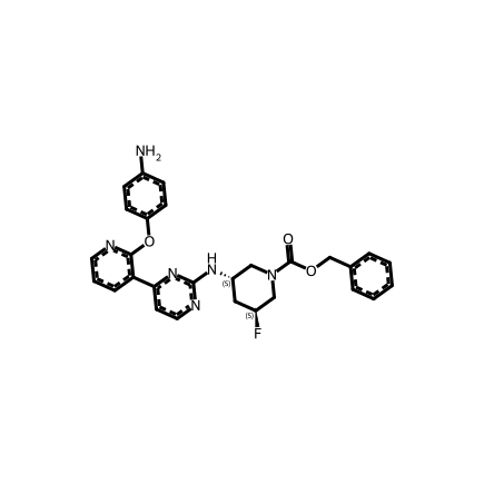 Nc1ccc(Oc2ncccc2-c2ccnc(N[C@H]3C[C@H](F)CN(C(=O)OCc4ccccc4)C3)n2)cc1